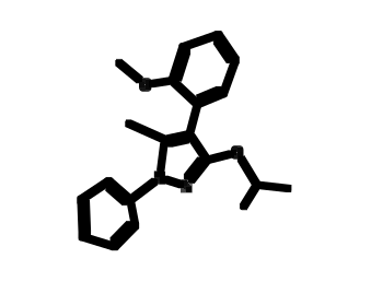 COc1ccccc1-c1c(OC(C)C)nn(-c2ccccc2)c1C